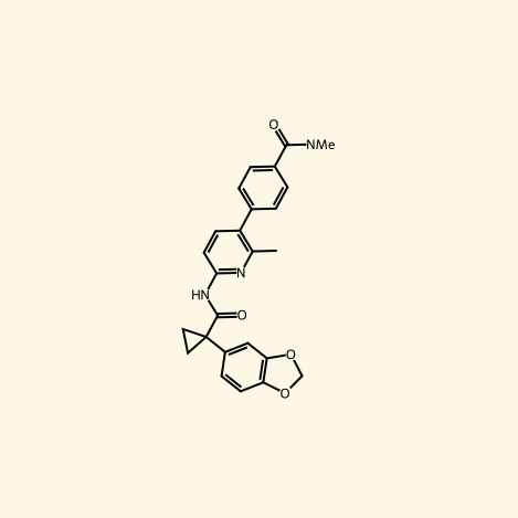 CNC(=O)c1ccc(-c2ccc(NC(=O)C3(c4ccc5c(c4)OCO5)CC3)nc2C)cc1